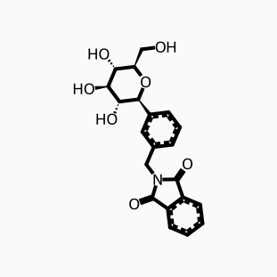 O=C1c2ccccc2C(=O)N1Cc1cccc([C@@H]2O[C@H](CO)[C@@H](O)[C@H](O)[C@H]2O)c1